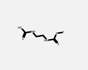 FSC(=S)NCCNC(=S)S